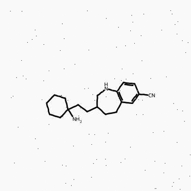 N#Cc1ccc2c(c1)CCC(CCC1(N)CCCCC1)CN2